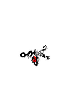 C=CC1(c2nc3c(-c4ccc(-c5ccccc5)nc4)cnn3c(N(COCC[Si](C)(C)C)COCC[Si](C)(C)C)c2C=O)CC2CCC(C1)N2C(=O)OC(C)(C)C